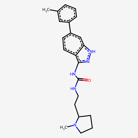 Cc1cccc(-c2ccc3c(NC(=O)NCCC4CCCN4C)n[nH]c3c2)c1